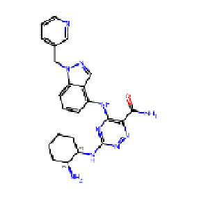 NC(=O)c1nnc(N[C@@H]2CCCC[C@@H]2N)nc1Nc1cccc2c1cnn2Cc1cccnc1